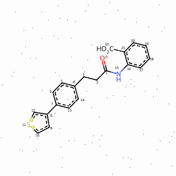 O=C(CCc1ccc(-c2ccsc2)cc1)Nc1ccccc1C(=O)O